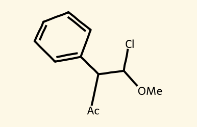 COC(Cl)C(C(C)=O)c1ccccc1